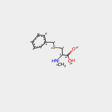 CNC(CSCc1ccccc1)C(=O)O